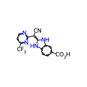 N#C/C(=C1/Nc2ccc(C(=O)O)cc2N1)c1nccc(C(F)(F)F)n1